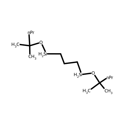 CCCC(C)(C)O[SiH2]CCC[SiH2]OC(C)(C)CCC